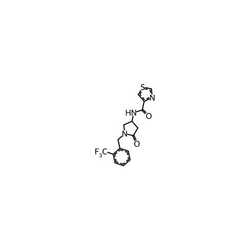 O=C(NC1CC(=O)N(Cc2ccccc2C(F)(F)F)C1)c1cscn1